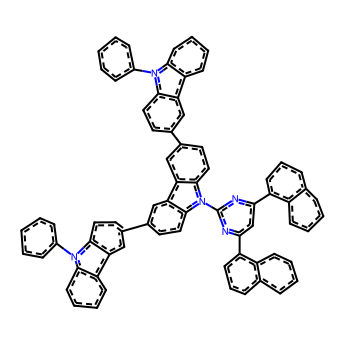 c1ccc(-n2c3ccccc3c3cc(-c4ccc5c(c4)c4cc(-c6ccc7c(c6)c6ccccc6n7-c6ccccc6)ccc4n5-c4nc(-c5cccc6ccccc56)cc(-c5cccc6ccccc56)n4)ccc32)cc1